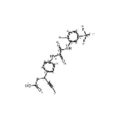 CC#CC(CC(=O)O)c1ccc(NC(=O)C(=O)Nc2cc(C(F)(F)F)ccc2C)cc1